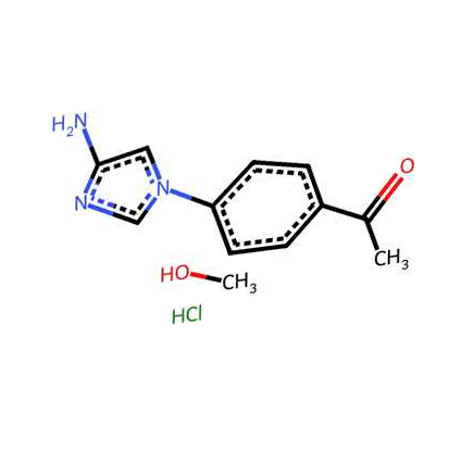 CC(=O)c1ccc(-n2cnc(N)c2)cc1.CO.Cl